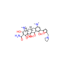 CN(C)c1cc(-c2ccc(CN3CCCC3)o2)c(O)c2c1C[C@H]1C[C@H]3[C@H](N(C)C)C(O)=C(C(N)=O)C(=O)[C@@]3(O)C(O)=C1C2=O